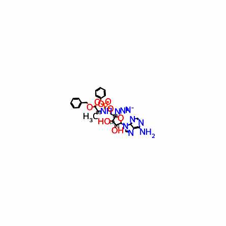 C[C@H](NP(=O)(OC[C@@]1(N=[N+]=[N-])OC(n2cnc3c(N)ncnc32)[C@H](O)[C@@H]1O)Oc1ccccc1)C(=O)OCc1ccccc1